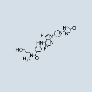 CN(CCCO)C(=O)c1ccc(Nc2ncnc3c2c(F)cn3C2CCN(c3ncc(Cl)cn3)CC2)c(F)c1